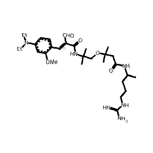 CCN(CC)c1ccc(/C=C(\C=O)C(=O)NC(C)(C)COC(C)(C)CC(=O)NC(C)CCCNC(=N)N)c(OC)c1